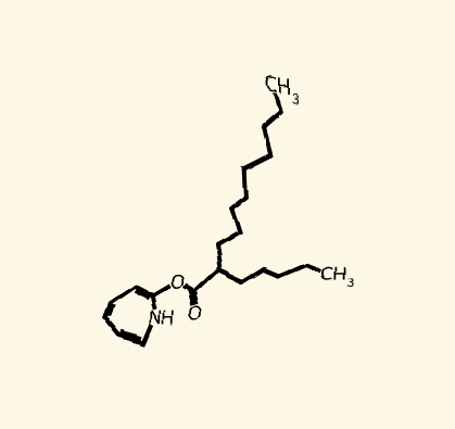 CCCCCCCCCC(CCCCC)C(=O)OC1=CC=CC=CN1